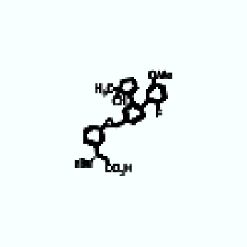 CCCC[C@@H](CC(=O)O)c1cccc(OCc2ccc(-c3cc(OC)ccc3F)c(C3=CCCC3(C)C)c2)c1